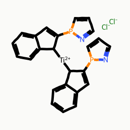 C1=C(p2cccn2)[CH]([Ti+2][CH]2C(p3cccn3)=Cc3ccccc32)c2ccccc21.[Cl-].[Cl-]